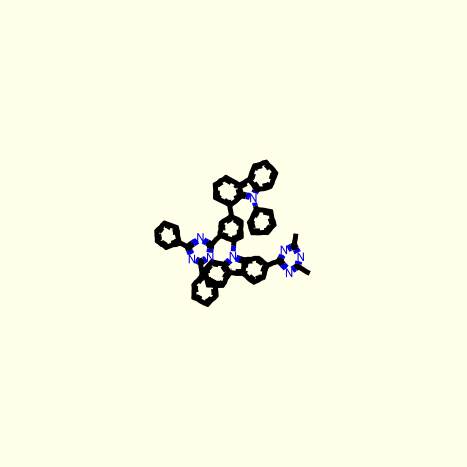 Cc1nc(C)nc(-c2ccc3c4ccccc4n(-c4ccc(-c5cccc6c7ccccc7n(-c7ccccc7)c56)cc4-c4nc(-c5ccccc5)nc(-c5ccccc5)n4)c3c2)n1